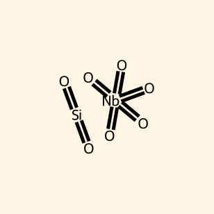 O=[Si]=O.[O]=[Nb](=[O])(=[O])(=[O])=[O]